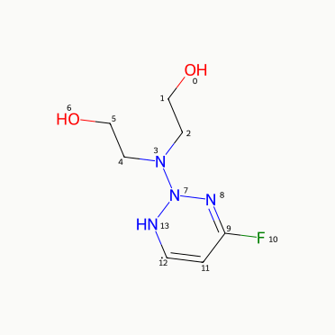 OCCN(CCO)N1N=C(F)C=[C]N1